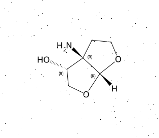 N[C@@]12CCO[C@@H]1OC[C@@H]2O